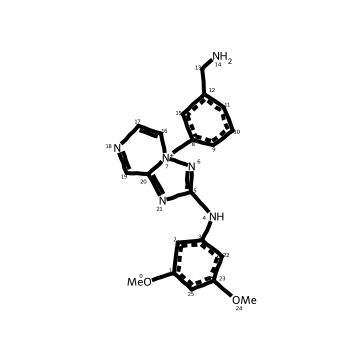 COc1cc(NC2=N[N+]3(c4cccc(CN)c4)C=CN=CC3=N2)cc(OC)c1